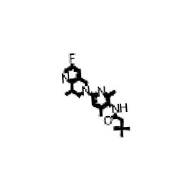 Cc1cc(N2Cc3cc(F)cnc3C(C)C2)nc(C)c1NC(=O)CC(C)(C)C